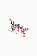 COc1cc(C(=O)NCC(O)(c2cc3c(c(-c4ccc(C#N)cc4)n2)OCC3(C)N)C(F)(F)F)ccc1OCCO